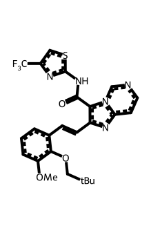 COc1cccc(C=Cc2nc3ccncn3c2C(=O)Nc2nc(C(F)(F)F)cs2)c1OCC(C)(C)C